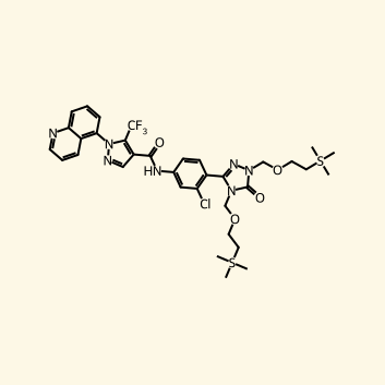 CS(C)(C)CCOCn1nc(-c2ccc(NC(=O)c3cnn(-c4cccc5ncccc45)c3C(F)(F)F)cc2Cl)n(COCCS(C)(C)C)c1=O